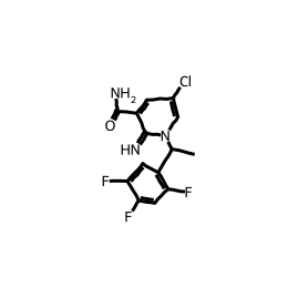 CC(c1cc(F)c(F)cc1F)n1cc(Cl)cc(C(N)=O)c1=N